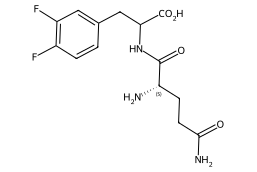 NC(=O)CC[C@H](N)C(=O)NC(Cc1ccc(F)c(F)c1)C(=O)O